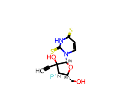 C#CC1(O)[C@@H](F)[C@@H](CO)O[C@H]1n1ccc(=S)[nH]c1=S